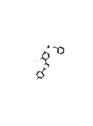 CC(C)(C)NS(=O)(=O)c1cc(NC(=O)OCc2ccccc2)ccc1-c1cnc(-c2ccc(N)cc2)s1